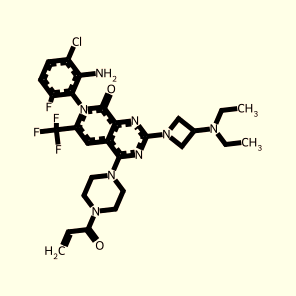 C=CC(=O)N1CCN(c2nc(N3CC(N(CC)CC)C3)nc3c(=O)n(-c4c(F)ccc(Cl)c4N)c(C(F)(F)F)cc23)CC1